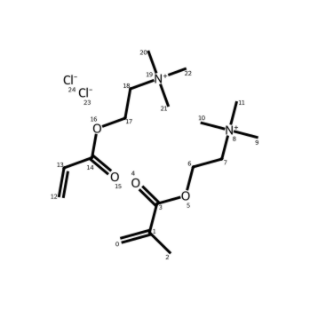 C=C(C)C(=O)OCC[N+](C)(C)C.C=CC(=O)OCC[N+](C)(C)C.[Cl-].[Cl-]